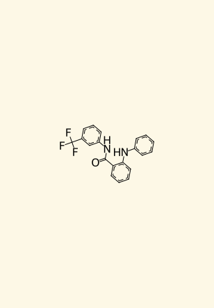 O=C(Nc1cccc(C(F)(F)F)c1)c1ccccc1Nc1ccccc1